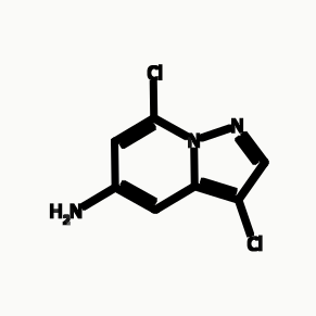 Nc1cc(Cl)n2ncc(Cl)c2c1